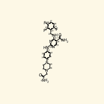 NC(=O)CN1CCN(c2ccc(Nc3ncc(C(N)=O)c(NCc4c(F)ccc(F)c4F)n3)cc2)CC1